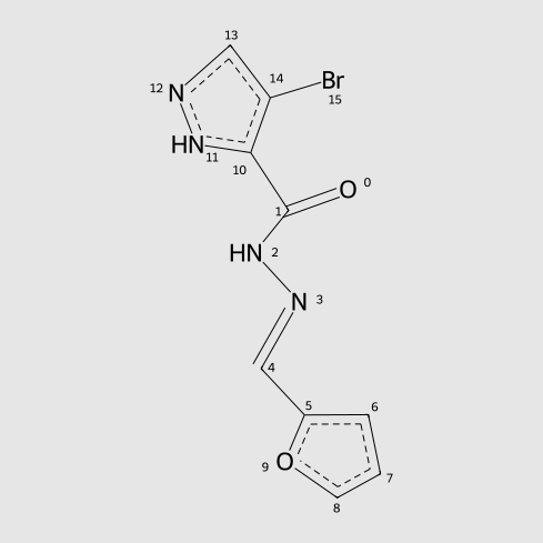 O=C(NN=Cc1ccco1)c1[nH]ncc1Br